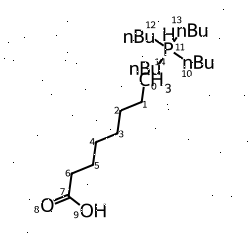 CCCCCCCC(=O)O.CCCC[PH](CCCC)(CCCC)CCCC